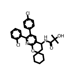 CC(C)(O)C(=O)NC1CC2(CCCCC2)Oc2nc(-c3ccccc3Cl)c(-c3ccc(Cl)cc3)cc21